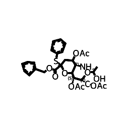 CC(=O)OC[C@@H](OC(C)O)[C@@H](OC(C)=O)C1O[C@](Sc2ccccc2)(C(=O)OCc2ccccc2)CC(OC(C)=O)[C@H]1N